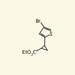 CCOC(=O)C1CC1c1cc(Br)cs1